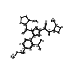 CC1CCCN1C(=O)c1nc(C(=O)NC2CCC2O)sc1-c1cnc(NCC(F)(F)F)cc1C(F)F